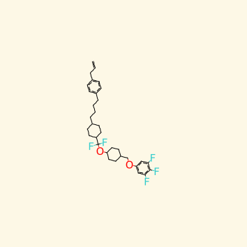 C=CCc1ccc(CCCCC2CCC(C(F)(F)OC3CCC(COc4cc(F)c(F)c(F)c4)CC3)CC2)cc1